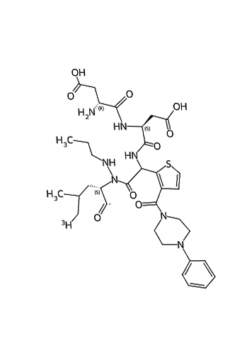 [3H]CC(C)C[C@@H]([C]=O)N(NCCC)C(=O)C(NC(=O)[C@H](CC(=O)O)NC(=O)[C@H](N)CC(=O)O)c1sccc1C(=O)N1CCN(c2ccccc2)CC1